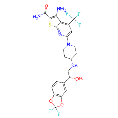 NC(=O)c1sc2nc(N3CCC(NCC(O)c4ccc5c(c4)OC(F)(F)O5)CC3)cc(C(F)(F)F)c2c1N